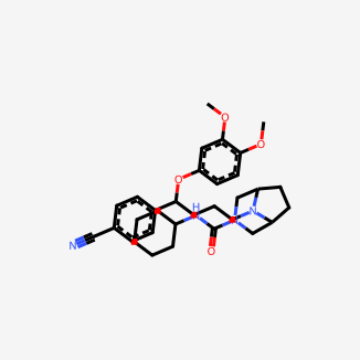 COc1ccc(OC(CCCN2C3CCC2CN(C(=O)NC2CCCCC2)C3)c2ccc(C#N)cc2)cc1OC